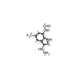 NNc1n[nH]c2c(NC=O)cc(C(F)(F)F)cc12